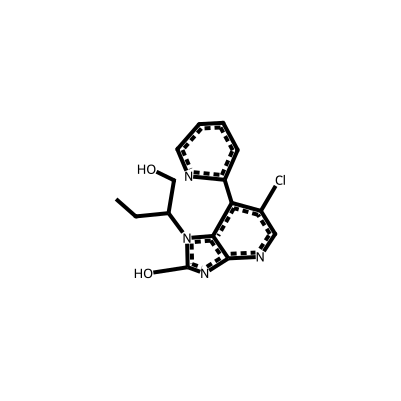 CCC(CO)n1c(O)nc2ncc(Cl)c(-c3ccccn3)c21